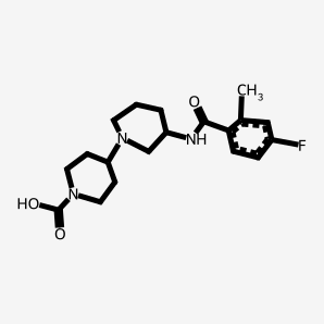 Cc1cc(F)ccc1C(=O)NC1CCCN(C2CCN(C(=O)O)CC2)C1